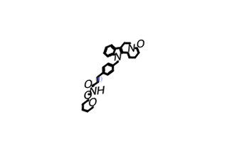 O=C(/C=C/c1ccc(Cn2c3c(c4ccccc42)CCN2C(=O)CCCC32)cc1)NOC1CCCCO1